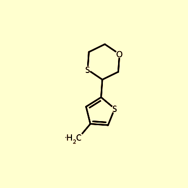 [CH2]c1csc(C2COCCS2)c1